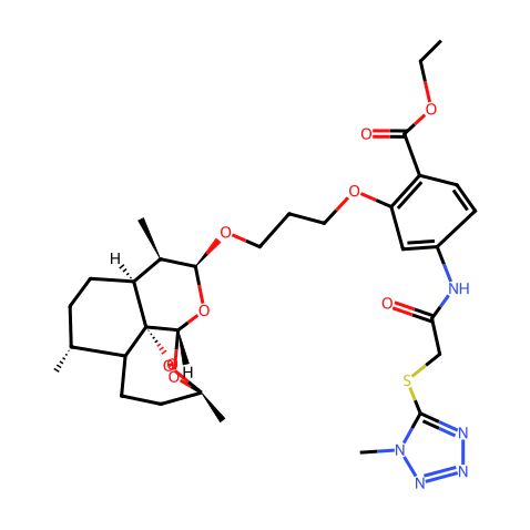 CCOC(=O)c1ccc(NC(=O)CSc2nnnn2C)cc1OCCCO[C@H]1O[C@@H]2O[C@@]3(C)CCC4[C@H](C)CC[C@@H]([C@H]1C)[C@]42OO3